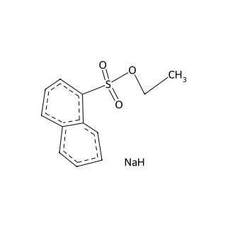 CCOS(=O)(=O)c1cccc2ccccc12.[NaH]